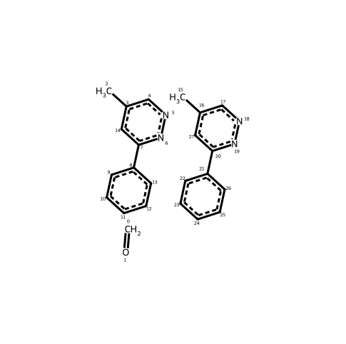 C=O.Cc1cnnc(-c2ccccc2)c1.Cc1cnnc(-c2ccccc2)c1